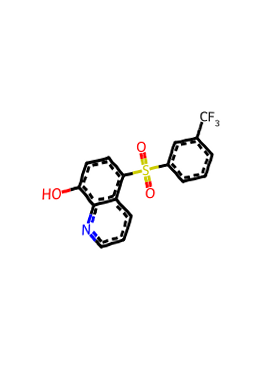 O=S(=O)(c1cccc(C(F)(F)F)c1)c1ccc(O)c2ncccc12